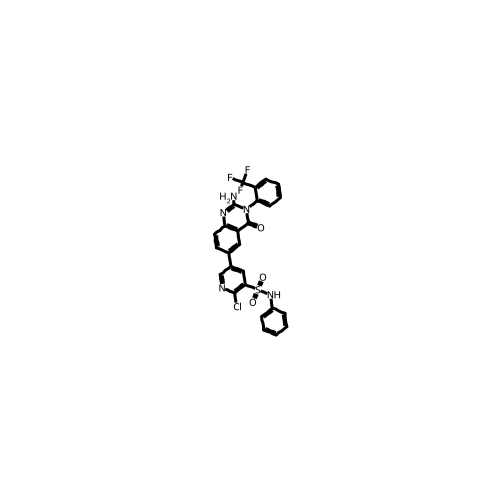 Nc1nc2ccc(-c3cnc(Cl)c(S(=O)(=O)Nc4ccccc4)c3)cc2c(=O)n1-c1ccccc1C(F)(F)F